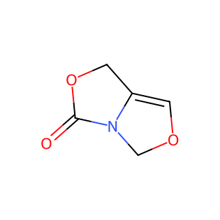 O=C1OCC2=COCN12